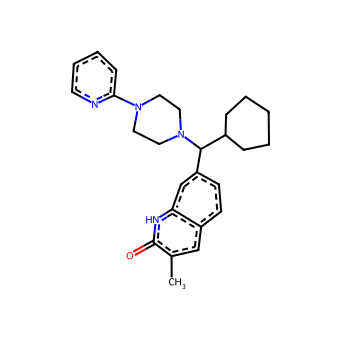 Cc1cc2ccc(C(C3CCCCC3)N3CCN(c4ccccn4)CC3)cc2[nH]c1=O